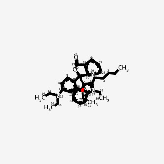 CCCCCc1c(C2(c3ccc(N(CC)CC)cc3OCC)OC(=O)c3cccnc32)c2ccccc2n1CC